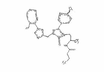 O=C(CCC(F)(F)F)NC(Cn1c(-c2ccc(Cl)cc2)nn(Cc2ncn(-c3ncccc3Cl)n2)c1=O)C(F)(F)F